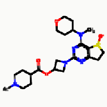 CC(=O)N1CCC(C(=O)OC2CN(c3nc4c(c(N(C)C5CCOCC5)n3)[S+]([O-])CC4)C2)CC1